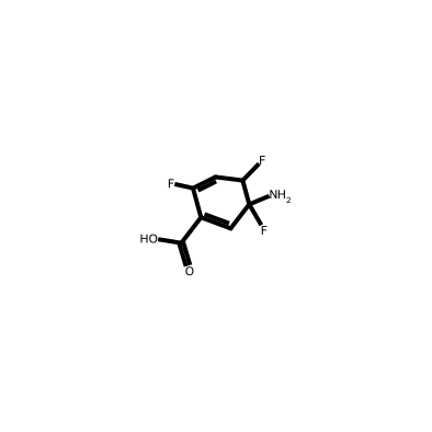 NC1(F)C=C(C(=O)O)C(F)=CC1F